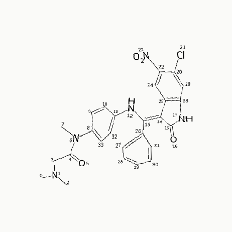 CN(C)CC(=O)N(C)c1ccc(NC(=C2C(=O)Nc3cc(Cl)c([N+](=O)[O-])cc32)c2ccccc2)cc1